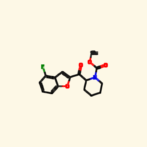 CC(C)(C)OC(=O)N1CCCCC1C(=O)c1cc2c(F)cccc2o1